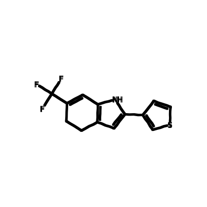 FC(F)(F)C1=Cc2[nH]c(-c3ccsc3)cc2CC1